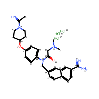 CC(=N)N1CCC(Oc2ccc(N(Cc3ccc4ccc(C(=N)N)cc4c3)C(=O)CN(C)C)cc2)CC1.Cl.Cl.Cl